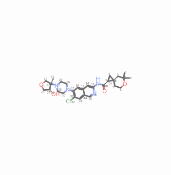 CC1(C)C[C@]2(CCO1)C[C@@H]2C(=O)Nc1cc2cc(N3CCN([C@@]4(C)COC[C@H]4O)CC3)c(Cl)cc2cn1